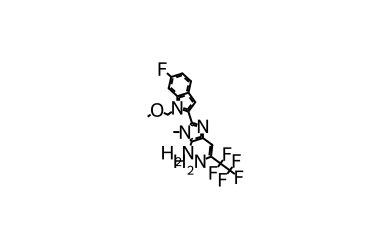 COCn1c(-c2nc(/C=C(\N)C(F)(F)C(F)(F)F)c(N)n2C)cc2ccc(F)cc21